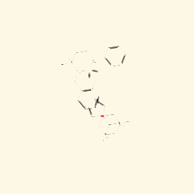 C[C@H]1CC[C@H](c2ccccc2)S(=O)(=O)N1Cc1ccc(N2C[C@H]3C[C@@H](C2)C3n2cnnc2)cc1F